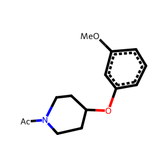 COc1cccc(OC2CCN(C(C)=O)CC2)c1